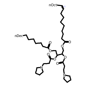 CCCCCCCC/C=C\CCCCCCCC(=O)OCC(OC(=O)CCN1CCCC1)C(COC(=O)CCCCCCCCCCCCCCCC)OC(=O)CCN1CCCC1